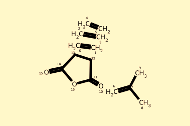 C=C.C=C.C=C.C=C(C)C.O=C1CCC(=O)O1